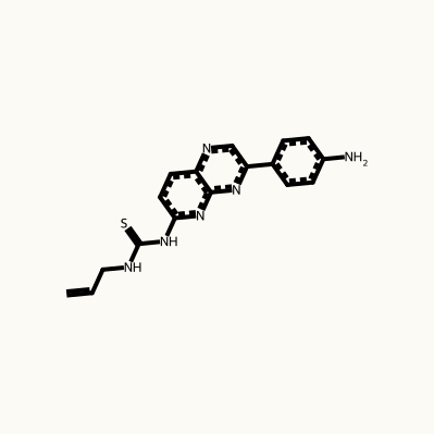 C=CCNC(=S)Nc1ccc2ncc(-c3ccc(N)cc3)nc2n1